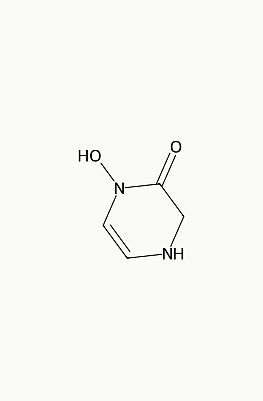 O=C1CNC=CN1O